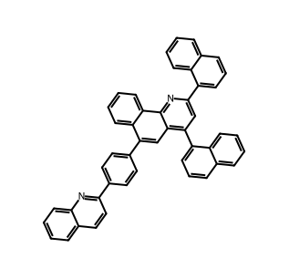 c1ccc2nc(-c3ccc(-c4cc5c(-c6cccc7ccccc67)cc(-c6cccc7ccccc67)nc5c5ccccc45)cc3)ccc2c1